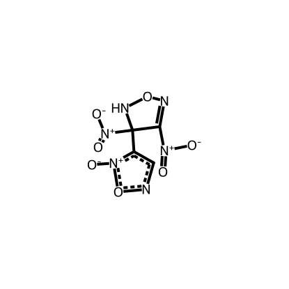 O=[N+]([O-])C1=NONC1(c1cno[n+]1[O-])[N+](=O)[O-]